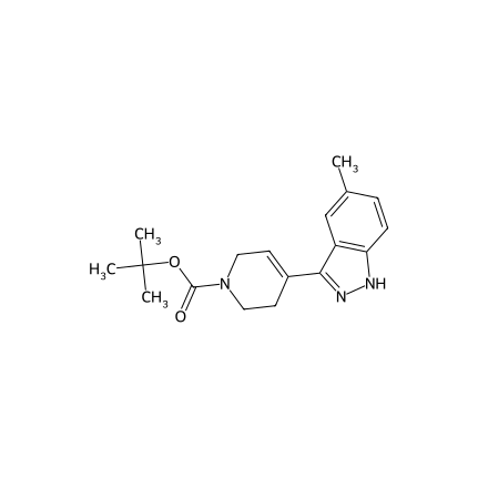 Cc1ccc2[nH]nc(C3=CCN(C(=O)OC(C)(C)C)CC3)c2c1